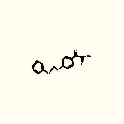 COC(=O)C(=O)c1ccc(OCOc2ccccc2)cc1